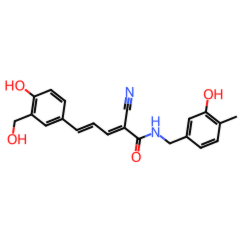 Cc1ccc(CNC(=O)/C(C#N)=C/C=C/c2ccc(O)c(CO)c2)cc1O